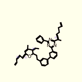 C=C/C=C\C=C1C=C(C)/C(=C/C)C(CCc2cccc(C3C=CC=C(c4nc(/C(C)=C/CCC=C)nc(-c5ccccc5)n4)C3)c2)O/1